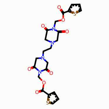 O=C(OCN1C(=O)CN(CCN2CC(=O)N(COC(=O)c3cccs3)C(=O)C2)CC1=O)c1cccs1